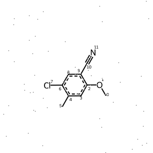 COc1cc(C)c(Cl)cc1C#N